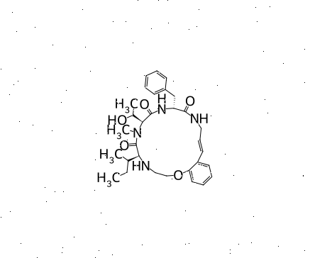 CCC(C)[C@@H]1NCCOc2ccccc2/C=C/CNC(=O)[C@@H](Cc2ccccc2)NC(=O)[C@H](C(C)O)N(C)C1=O